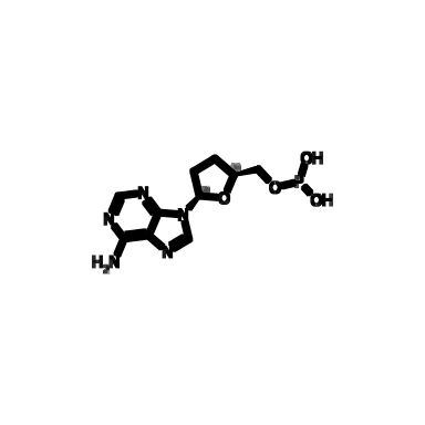 Nc1ncnc2c1ncn2[C@H]1CC[C@@H](COP(O)O)O1